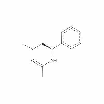 CCC[C@H](NC(C)=O)c1ccccc1